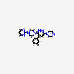 c1ccc(-c2cc(N3CCNCC3)nnc2N2CCN(c3ncccn3)CC2)cc1